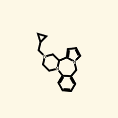 c1ccc2c(c1)Cn1cccc1C1CN(CC3CC3)CCN21